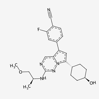 COC[C@H](C)Nc1ncc2c(-c3ccc(C#N)c(F)c3)cc([C@H]3CC[C@H](O)CC3)n2n1